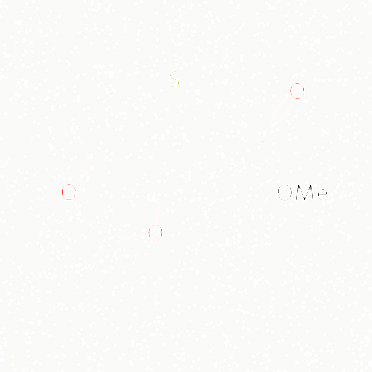 COC(=O)C1SCC2OC(C)(C)OC21